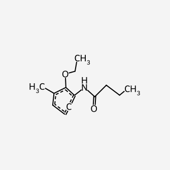 CCCC(=O)Nc1cccc(C)c1OCC